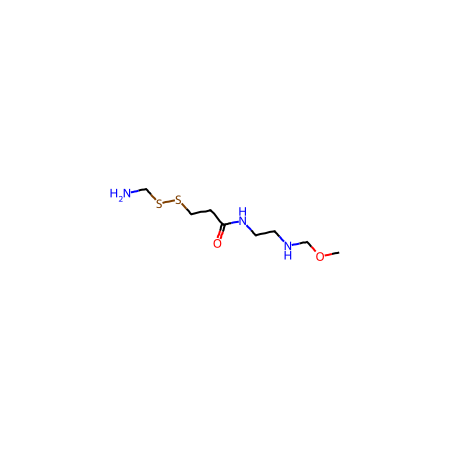 COCNCCNC(=O)CCSSCN